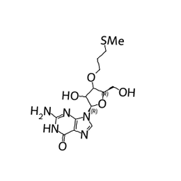 CSCCCOC1C(O)[C@H](n2cnc3c(=O)[nH]c(N)nc32)O[C@@H]1CO